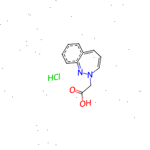 Cl.O=C(O)CN1C=CC=c2ccccc2=N1